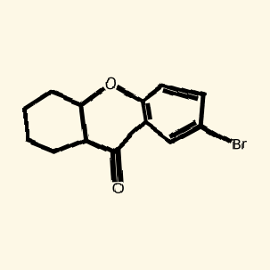 O=C1c2cc(Br)ccc2OC2CCCCC12